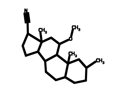 COC1CC2(C)C(C#N)CCC2C2CCC3CCC(C)CC3(C)C12